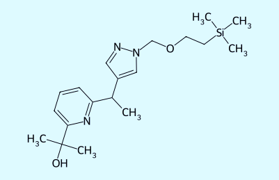 CC(c1cnn(COCC[Si](C)(C)C)c1)c1cccc(C(C)(C)O)n1